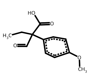 CCC(C=O)(C(=O)O)c1ccc(OC)cc1